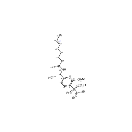 CCN(CC)[C@@](C(=O)O)(c1ccc(CNC(=O)CCCC/C=C/C(C)C)cc1OC)C(C)C.Cl